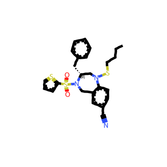 CCCCSN1C[C@@H](Cc2ccccc2)N(S(=O)(=O)c2cccs2)Cc2cc(C#N)ccc21